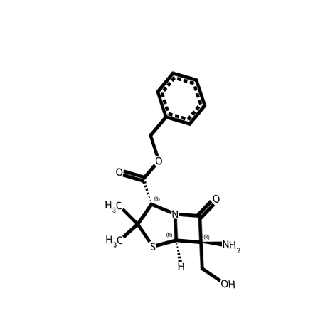 CC1(C)S[C@H]2N(C(=O)[C@]2(N)CO)[C@H]1C(=O)OCc1ccccc1